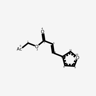 CC(=O)COC(=O)C=Cc1ccoc1